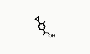 C[C](CO)c1ccc(C2CC2)c(C)c1